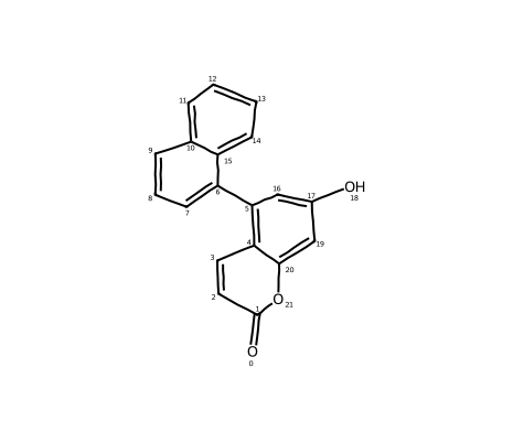 O=c1ccc2c(-c3cccc4ccccc34)cc(O)cc2o1